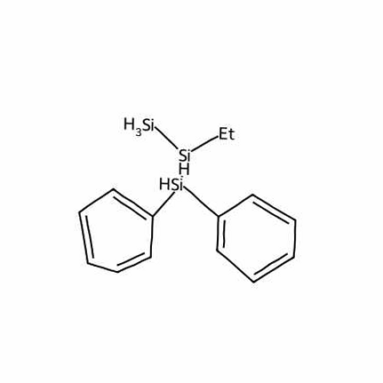 CC[SiH]([SiH3])[SiH](c1ccccc1)c1ccccc1